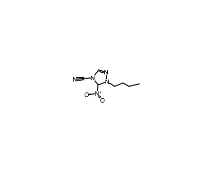 CCCCN1N=CN(C#N)C1[N+](=O)[O-]